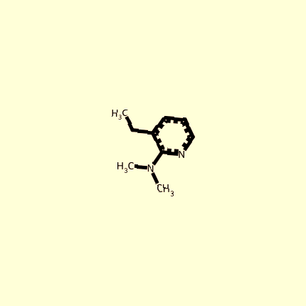 CCc1cccnc1N(C)C